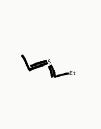 CC=S=CCC